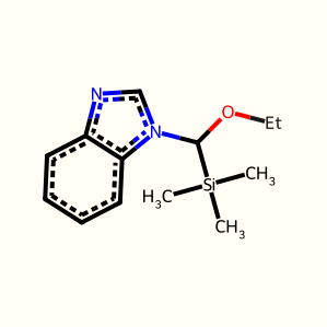 CCOC(n1cnc2ccccc21)[Si](C)(C)C